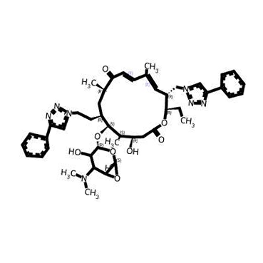 CC[C@H]1OC(=O)C[C@@H](O)[C@H](C)[C@@H](O[C@@H]2O[C@@H]3OC3C(N(C)C)C2O)[C@@H](CCn2cc(-c3ccccc3)nn2)C[C@@H](C)C(=O)/C=C/C(C)=C/[C@@H]1Cn1cc(-c2ccccc2)nn1